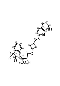 O=C(O)[C@H](CCO[C@H]1C[C@H](CCc2ccc3c(n2)NCCC3)C1)NC(=O)C1(c2ccccc2)CC1